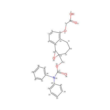 O=C(O)COc1cccc2c1CCCC1(COC(=O)N(c3ccccc3)c3ccccc3)OC21